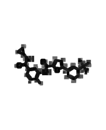 Cc1ccc(C(=O)NC2CC2)cc1NC(=O)c1ccc(-c2cccc(C(F)(F)F)c2)o1